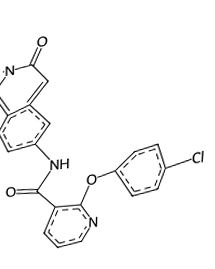 O=C1C=c2cc(NC(=O)c3cccnc3Oc3ccc(Cl)cc3)ccc2=C[N]1